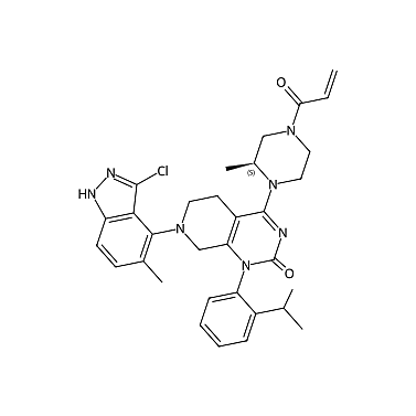 C=CC(=O)N1CCN(c2nc(=O)n(-c3ccccc3C(C)C)c3c2CCN(c2c(C)ccc4[nH]nc(Cl)c24)C3)[C@@H](C)C1